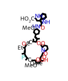 CCC1/C=C(\C)C(F)C(C)CC(OC)C2OC(O)(C(=O)C(=O)N3CCCCC3C(=O)OC(C(C)=CC3CCC(NC(=O)c4[nH]c5ccccc5c4C[C@H](N)C(=O)O)C(OC)C3)C(C)CCC1=O)C(C)CC2OC